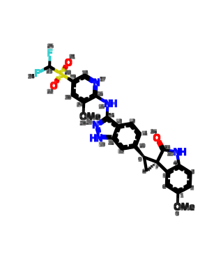 COc1ccc2c(c1)[C@]1(C[C@H]1c1ccc3c(Nc4ncc(S(=O)(=O)C(F)F)cc4OC)n[nH]c3c1)C(=O)N2